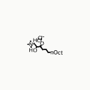 CCCCCCCCCCCC(=O)C(O)C[N+](C)(C)C.Cl.[Cl-]